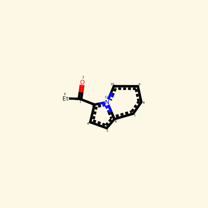 CCC(=O)c1ccc2ccccn12